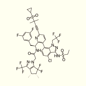 CCS(=O)(=O)Nc1nn(CC(F)(F)F)c2c(-c3ccc(C#CC(C)(C)S(=O)(=O)C4CC4)nc3[C@H](Cc3cc(F)cc(F)c3)NC(=O)Cn3nc(C(F)(F)F)c4c3C(F)(F)[C@H](C)[C@@H]4C)ccc(Cl)c12